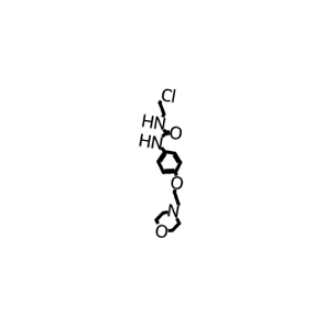 O=C(NCCCl)Nc1ccc(OCCN2CCOCC2)cc1